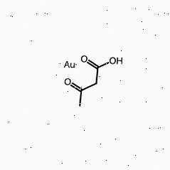 CC(=O)CC(=O)O.[Au]